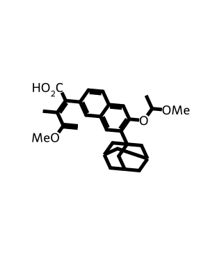 C=C(OC)C(C)=C(C(=O)O)c1ccc2cc(OC(C)OC)c(C34CC5CC(CC(C5)C3)C4)cc2c1